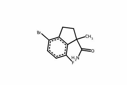 CC1(C(N)=O)CCc2c(Br)ccc(F)c21